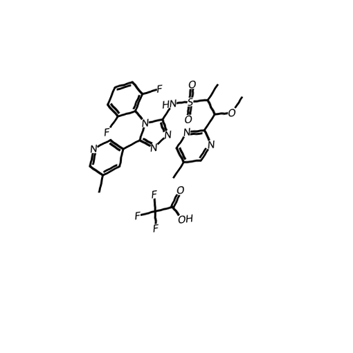 COC(c1ncc(C)cn1)C(C)S(=O)(=O)Nc1nnc(-c2cncc(C)c2)n1-c1c(F)cccc1F.O=C(O)C(F)(F)F